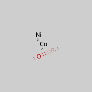 [B]=O.[Co].[Ni]